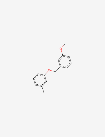 COc1cccc(COc2cccc(C)c2)c1